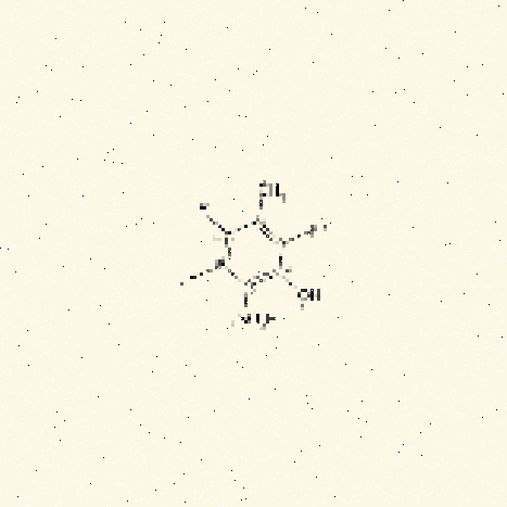 Cc1c(F)c(O)c(S(=O)(=O)O)c(F)c1F